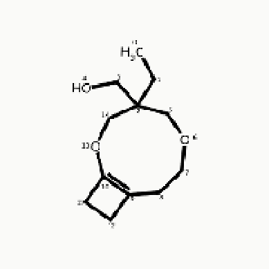 CCC1(CO)COCCC2=C(CC2)OC1